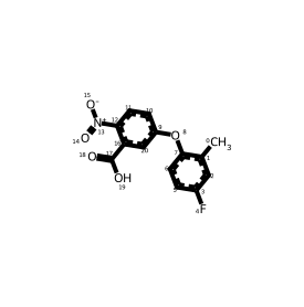 Cc1cc(F)ccc1Oc1ccc([N+](=O)[O-])c(C(=O)O)c1